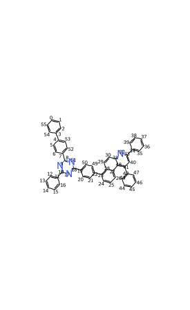 c1ccc(-c2ccc(-c3nc(-c4ccccc4)nc(-c4ccc(-c5cccc6c5ccc5nc(-c7ccccc7)cc(-c7ccccc7)c56)cc4)n3)cc2)cc1